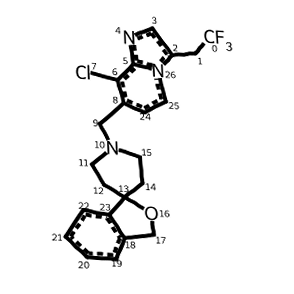 FC(F)(F)Cc1cnc2c(Cl)c(CN3CCC4(CC3)OCc3ccccc34)ccn12